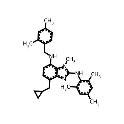 Cc1ccc(CNc2ccc(CC3CC3)c3nc(Nc4c(C)cc(C)cc4C)n(C)c23)c(C)c1